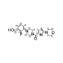 O=C(c1csc(N2CCOCC2)n1)N1CCN(c2cccc(CO)c2F)CC1